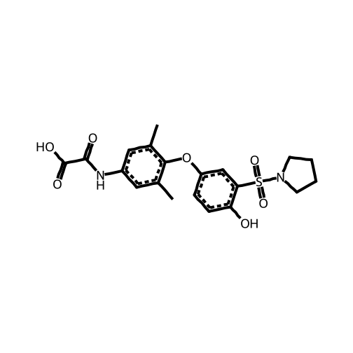 Cc1cc(NC(=O)C(=O)O)cc(C)c1Oc1ccc(O)c(S(=O)(=O)N2CCCC2)c1